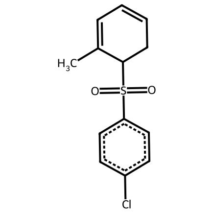 CC1=CC=CCC1S(=O)(=O)c1ccc(Cl)cc1